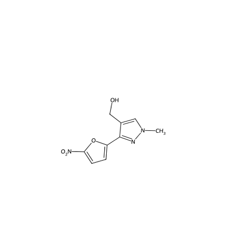 Cn1cc(CO)c(-c2ccc([N+](=O)[O-])o2)n1